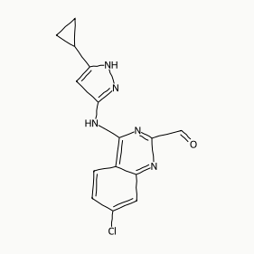 O=Cc1nc(Nc2cc(C3CC3)[nH]n2)c2ccc(Cl)cc2n1